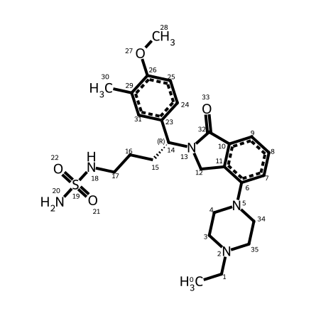 CCN1CCN(c2cccc3c2CN([C@H](CCCNS(N)(=O)=O)c2ccc(OC)c(C)c2)C3=O)CC1